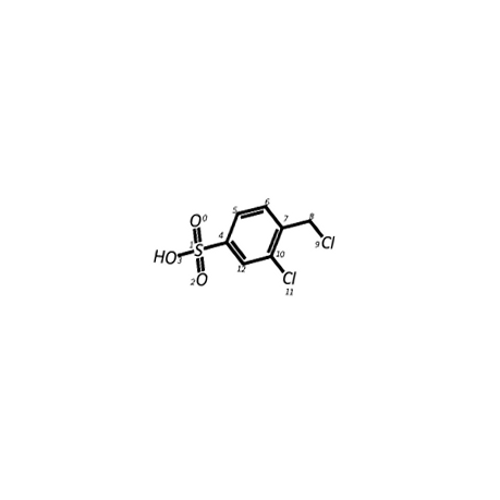 O=S(=O)(O)c1ccc(CCl)c(Cl)c1